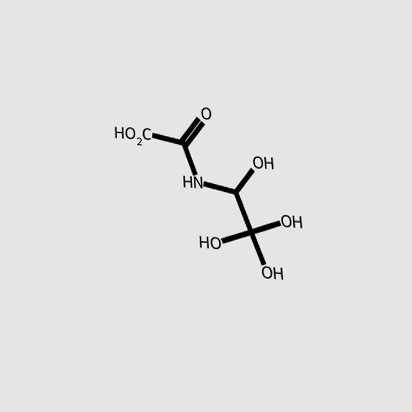 O=C(O)C(=O)NC(O)C(O)(O)O